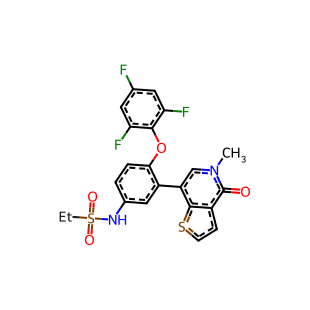 CCS(=O)(=O)Nc1ccc(Oc2c(F)cc(F)cc2F)c(-c2cn(C)c(=O)c3ccsc23)c1